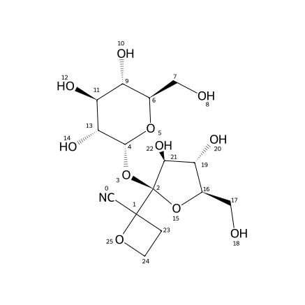 N#CC1([C@@]2(O[C@H]3O[C@H](CO)[C@@H](O)[C@H](O)[C@H]3O)O[C@H](CO)[C@@H](O)[C@@H]2O)CCO1